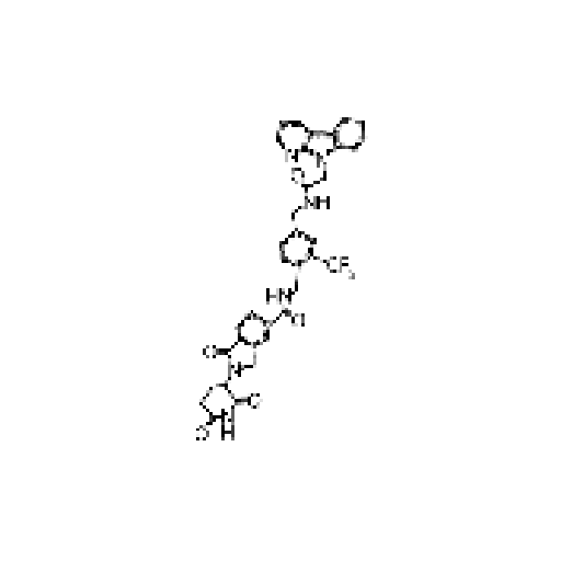 O=C(Cn1c2ccccc2c2cccnc21)NCc1ccc(CNC(=O)c2ccc3c(c2)CN(C2CCC(=O)NC2=O)C3=O)c(C(F)(F)F)c1